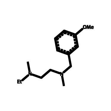 CCN(C)CCN(C)Cc1cccc(OC)c1